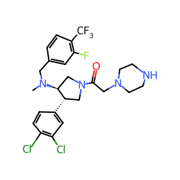 CN(Cc1ccc(C(F)(F)F)c(F)c1)[C@H]1CN(C(=O)CN2CCNCC2)C[C@@H]1c1ccc(Cl)c(Cl)c1